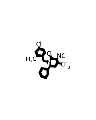 [C-]#[N+]c1c(C(F)(F)F)cc(-c2ccccc2)n(Cc2ccc(Cl)cc2C)c1=O